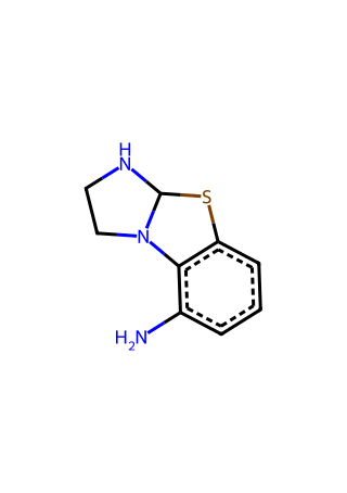 Nc1cccc2c1N1CCNC1S2